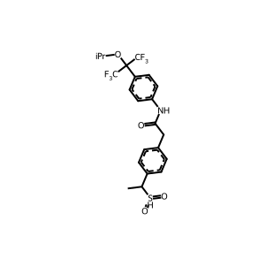 CC(C)OC(c1ccc(NC(=O)Cc2ccc(C(C)[SH](=O)=O)cc2)cc1)(C(F)(F)F)C(F)(F)F